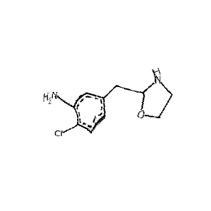 Nc1cc(CC2NCCO2)ccc1Cl